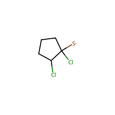 [S]C1(Cl)CCCC1Cl